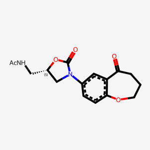 CC(=O)NC[C@H]1CN(c2ccc3c(c2)C(=O)CCCO3)C(=O)O1